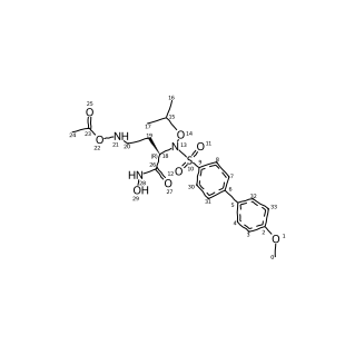 COc1ccc(-c2ccc(S(=O)(=O)N(OC(C)C)[C@H](CCNOC(C)=O)C(=O)NO)cc2)cc1